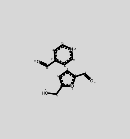 O=Cc1ccc(CO)o1.O=Cc1ccncc1